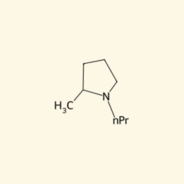 CCCN1CCCC1C